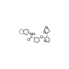 O=C(Nc1ccc2c(c1)CCC2)c1cccc(Oc2ncccc2-c2ccncn2)c1